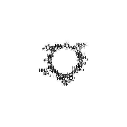 CCC[C@H](NC(C)=O)C(=O)N[C@H]1CSCc2cccc(c2)CSC[C@@H](C(N)=O)NC(=O)[C@H](Cc2c[nH]c3ccc(F)cc23)NC(=O)[C@@H]2C[C@H](F)CN2C(=O)[C@H](CCCNC(=N)N)NC(=O)CNC(=O)[C@H](CO)N(C)C(=O)[C@H](Cc2c[nH]c3ccc(F)cc23)NC(=O)[C@H](Cc2ccc(O)cc2)NC(=O)[C@H](C(C)(C)C)NC(=O)[C@H]([C@@H](C)CC)NC(=O)[C@H]([C@@H](C)O)NC1=O